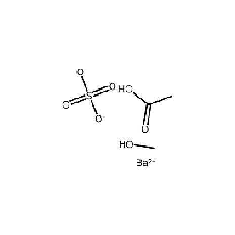 CC(=O)O.CO.O=S(=O)([O-])[O-].[Ba+2]